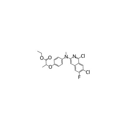 CCOC(=O)C(C)Oc1ccc(N(C)c2cc3cc(F)c(Cl)cc3c(Cl)n2)cc1